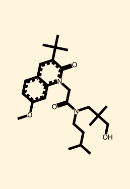 COc1ccc2cc(C(C)(C)C)c(=O)n(CC(=O)N(CCC(C)C)CC(C)(C)CO)c2c1